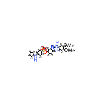 COc1ccc(Nc2nc3cc(OS(=O)(=O)c4ccc(NC5CCCC5)cc4)ccc3[nH]2)cc1OC